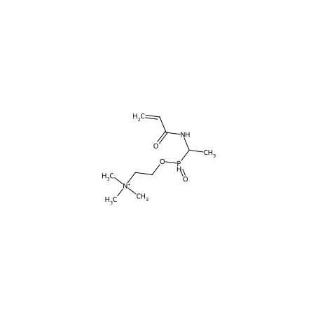 C=CC(=O)NC(C)[PH](=O)OCC[N+](C)(C)C